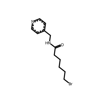 O=C(CCCCCBr)NCc1ccncc1